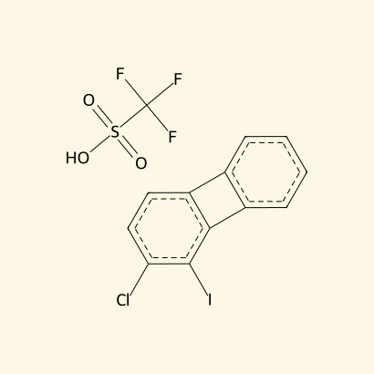 Clc1ccc2c(c1I)-c1ccccc1-2.O=S(=O)(O)C(F)(F)F